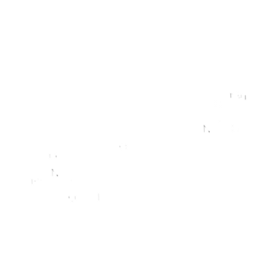 CC(C)N(O)C(=O)c1ccc(OCCCC2CCN(C(=O)OC(C)(C)C)CC2)cc1F